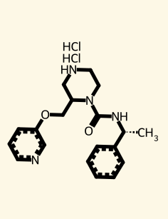 C[C@@H](NC(=O)N1CCNCC1COc1cccnc1)c1ccccc1.Cl.Cl